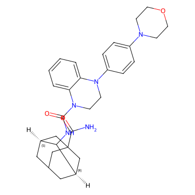 NC(=O)C12CC3C[C@H](C1)C(NC(=O)N1CCN(c4ccc(N5CCOCC5)cc4)c4ccccc41)[C@@H](C3)C2